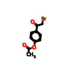 CC(=O)Oc1ccc(C(=O)CBr)cc1